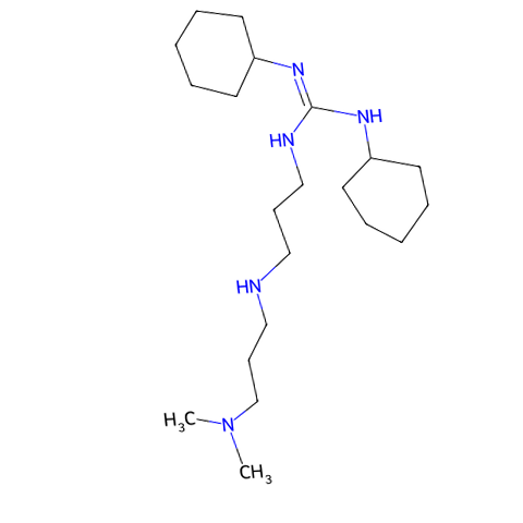 CN(C)CCCNCCCN/C(=N\C1CCCCC1)NC1CCCCC1